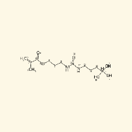 C=C(C)C(=O)OCCCNC(=O)NCCC[PH](O)(O)O